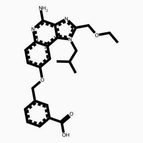 CCOCc1nc2c(N)nc3ccc(OCc4cccc(C(=O)O)c4)cc3c2n1CC(C)C